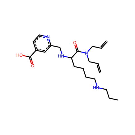 C=CCN(CC=C)C(=O)C(CCCCNCCC)NCc1cc(C(=O)O)ccn1